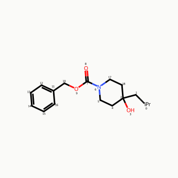 CC(C)CC1(O)CCN(C(=O)OCc2ccccc2)CC1